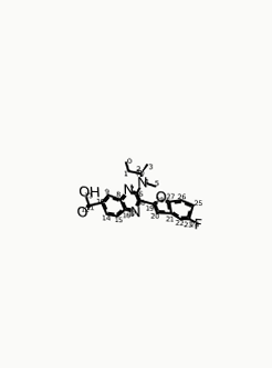 CC[C@@H](C)N(C)c1nc2cc(C(=O)O)ccc2nc1-c1cc2cc(F)ccc2o1